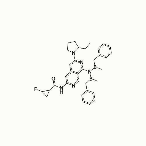 CCC1CCCN1c1cc2cc(NC(=O)C3CC3F)ncc2c(N(B(C)Cc2ccccc2)B(C)Cc2ccccc2)n1